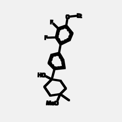 CCOc1ccc(-c2ccc(C3(O)CCC(C)(OC)CC3)cc2)c(F)c1F